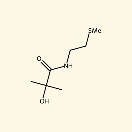 CSCCNC(=O)C(C)(C)O